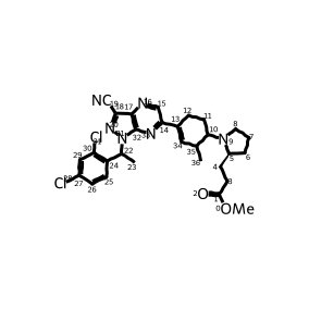 COC(=O)CC[C@@H]1CCCN1C1CCC(c2cnc3c(C#N)nn(C(C)c4ccc(Cl)cc4Cl)c3n2)=CC1C